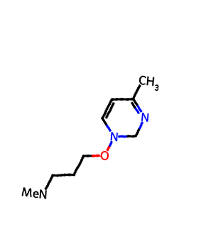 CNCCCON1C=CC(C)=NC1